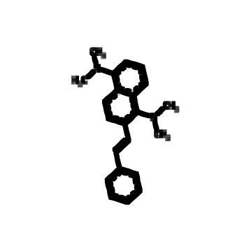 CN(C)c1cccc2c(N(C)C)c(C=Cc3ccccc3)ccc12